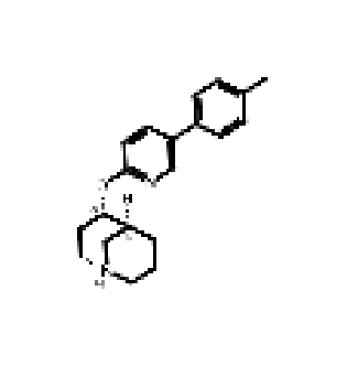 Cc1ccc(-c2ccc(O[C@H]3CC[N@@]4CCC[C@H]3C4)nc2)cc1